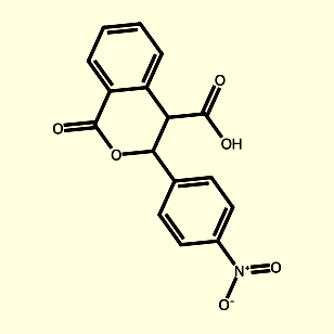 O=C1OC(c2ccc([N+](=O)[O-])cc2)C(C(=O)O)c2ccccc21